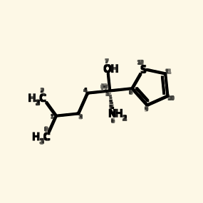 CC(C)CC[C@@](N)(O)c1cccs1